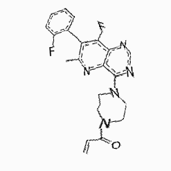 C=CC(=O)N1CCN(c2ncnc3c(F)c(-c4ccccc4F)c(C)nc23)CC1